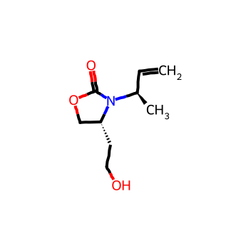 C=C[C@@H](C)N1C(=O)OC[C@H]1CCO